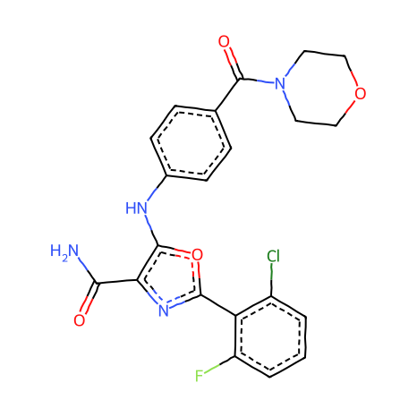 NC(=O)c1nc(-c2c(F)cccc2Cl)oc1Nc1ccc(C(=O)N2CCOCC2)cc1